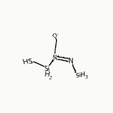 [O-][N+](=N[SiH3])[SiH2]S